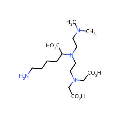 CN(C)CCN(CCN(CC(=O)O)CC(=O)O)C(CCCCN)C(=O)O